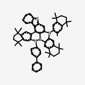 Cc1cc2c(cc1N1c3cc4c(cc3B3c5c1cc1sc6ccccc6c1c5-c1cc5c(cc1N3c1ccc(-c3ccccc3)cc1)C(C)(C)CCC5(C)C)C(C)(C)CCC4(C)C)C(C)(C)CCC2(C)C